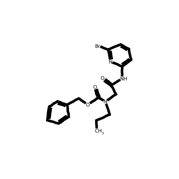 CCCN(CC(=O)Nc1cccc(Br)n1)C(=O)OCc1ccccc1